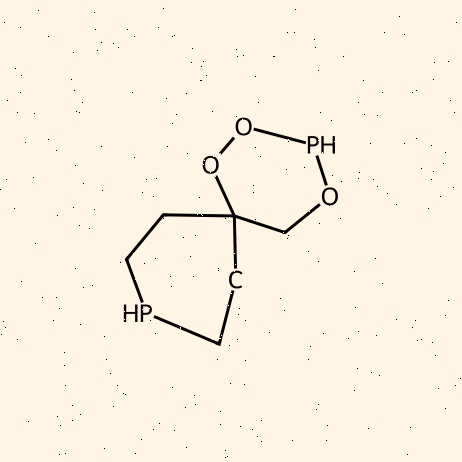 C1CC2(CCP1)COPOO2